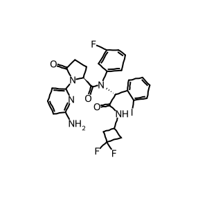 Nc1cccc(N2C(=O)CC[C@H]2C(=O)N(c2cccc(F)c2)[C@@H](C(=O)NC2CC(F)(F)C2)c2ccccc2I)n1